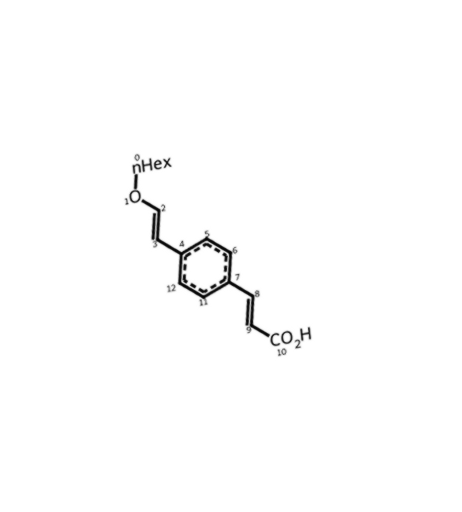 CCCCCCOC=Cc1ccc(C=CC(=O)O)cc1